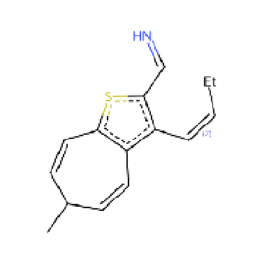 CC/C=C\c1c(C=N)sc2c1C=CC(C)C=C2